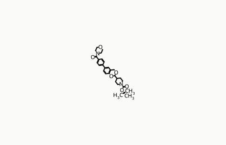 CC(C)(C)OC(=O)N1CCC(C2OCc3cc(-c4ccc(C(=O)N5CCOCC5)cc4)ccc3O2)CC1